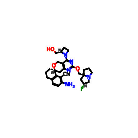 N#Cc1c(N)ccc2c1[C@]1(CCC2)Cc2nc(OC[C@@]34CCCN3C[C@H](F)C4)nc(N3CC[C@@H]3CO)c2CO1